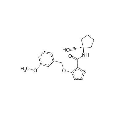 C#CC1(NC(=O)c2sccc2OCc2cccc(OC)c2)CCCC1